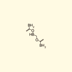 BC(=C)OBCOC(B)=C